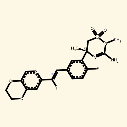 CN1C(N)=N[C@](C)(c2cc(/C=C(\F)c3cc4c(cn3)OCCO4)ccc2F)CS1(=O)=O